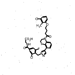 Cc1c(Cl)cccc1OCCCC(=O)N1CCSc2c(-c3cnn(Cc4c(F)cc(C(=O)NCC(=O)O)cc4Cl)c3)cccc21